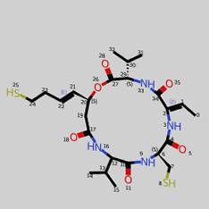 C/C=C1\NC(=O)[C@@H](CS)NC(=O)C(C(C)C)NC(=O)C[C@@H](/C=C/CCS)OC(=O)[C@H](C(C)C)NC1=O